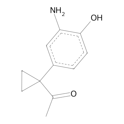 CC(=O)C1(c2ccc(O)c(N)c2)CC1